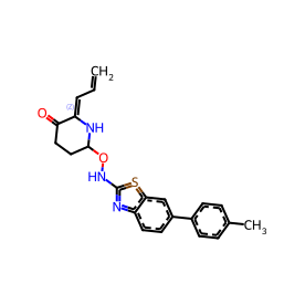 C=C/C=C1\NC(ONc2nc3ccc(-c4ccc(C)cc4)cc3s2)CCC1=O